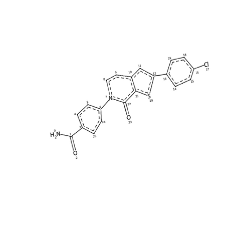 NC(=O)c1ccc(-n2ccc3cc(-c4ccc(Cl)cc4)sc3c2=O)cc1